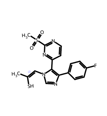 C/C(S)=C/n1cnc(-c2ccc(F)cc2)c1-c1ccnc(S(C)(=O)=O)n1